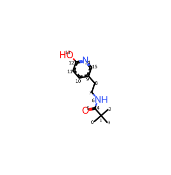 CC(C)(C)C(=O)NCCc1ccc(O)nc1